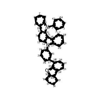 c1ccc(-n2c3ccccc3c3ccc4c(c5ccccc5n4-c4cccc(-c5cccc6c5oc5ccccc56)c4)c32)cc1